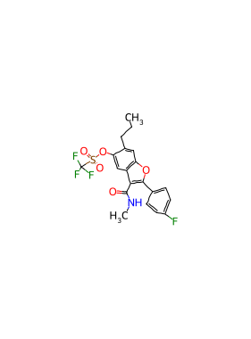 CCCc1cc2oc(-c3ccc(F)cc3)c(C(=O)NC)c2cc1OS(=O)(=O)C(F)(F)F